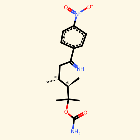 C[C@H](CC(=N)c1ccc([N+](=O)[O-])cc1)[C@@H](C)C(C)(C)OC(N)=O